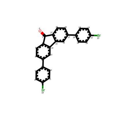 O=C1c2ccc(-c3ccc(Br)cc3)cc2-c2cc(-c3ccc(Br)cc3)ccc21